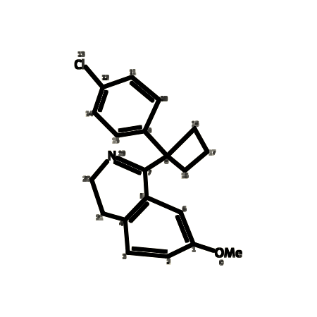 COc1ccc2c(c1)C(C1(c3ccc(Cl)cc3)CCC1)=NCC2